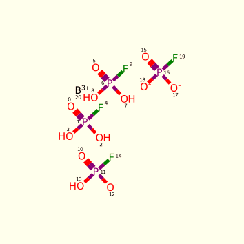 O=P(O)(O)F.O=P(O)(O)F.O=P([O-])(O)F.O=P([O-])([O-])F.[B+3]